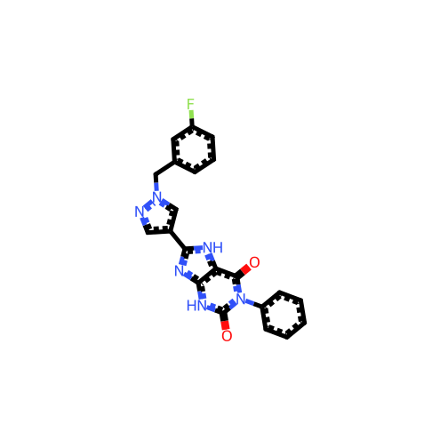 O=c1[nH]c2nc(-c3cnn(Cc4cccc(F)c4)c3)[nH]c2c(=O)n1-c1ccccc1